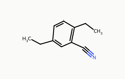 CCc1c[c]c(CC)c(C#N)c1